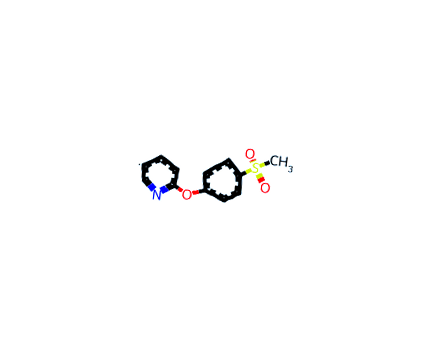 CS(=O)(=O)c1ccc(Oc2cc[c]cn2)cc1